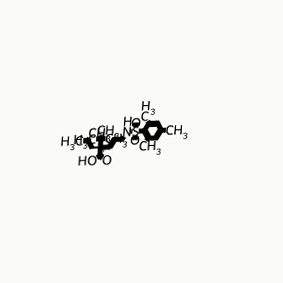 Cc1cc(C)c(S(=O)(=O)NCC=C[C@](CC(C)C)(C(=O)O)C(C)(C)C)c(C)c1